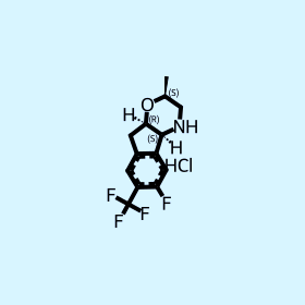 C[C@H]1CN[C@H]2c3cc(F)c(C(F)(F)F)cc3C[C@H]2O1.Cl